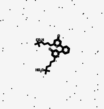 CC(C)(CCCCc1cc(=O)cc(-c2ccccc2-c2cc(=O)cc(CCCCC(C)(C)C(=O)O)s2)s1)C(=O)O